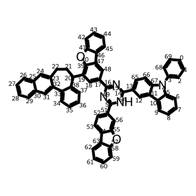 c1ccc(-n2c3ccccc3c3cc(C4N=C(c5cc(C6CCc7cc8ccccc8cc7-c7ccccc76)c6oc7ccccc7c6c5)N=C(c5ccc6c(c5)oc5ccccc56)N4)ccc32)cc1